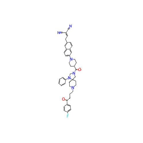 N#CC(C#N)=CCc1ccc2cc(N3CCC(C(=O)N4CN(c5ccccc5)C5(CCN(CCCC(=O)c6ccc(F)cc6)CC5)C4)CC3)ccc2c1